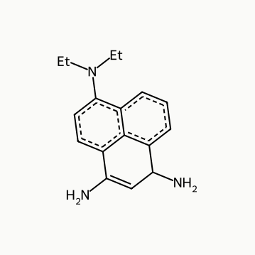 CCN(CC)c1ccc2c3c(cccc13)C(N)C=C2N